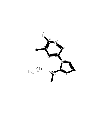 CNc1cccn1-c1cnc(F)c(C)c1.Cl.Cl